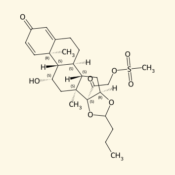 CCCC1O[C@@H]2C[C@H]3[C@@H]4CCC5=CC(=O)C=C[C@]5(C)[C@H]4[C@@H](O)C[C@]3(C)[C@]2(C(=O)COS(C)(=O)=O)O1